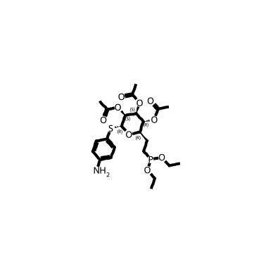 CCOP(CC[C@H]1O[C@H](Sc2ccc(N)cc2)[C@@H](OC(C)=O)[C@@H](OC(C)=O)[C@@H]1OC(C)=O)OCC